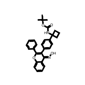 CC(C)(C)OC(=O)NC1(c2ccc(-c3c(-c4ccccc4)oc4ccccc4/c3=N/O)cc2)CCC1